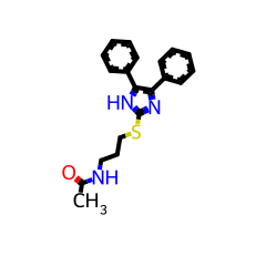 CC(=O)NCCCSc1nc(-c2ccccc2)c(-c2ccccc2)[nH]1